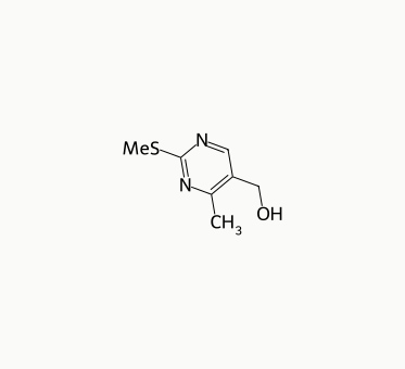 CSc1ncc(CO)c(C)n1